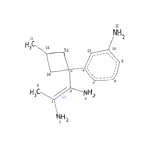 C/C(N)=C(/N)C1(c2cccc(N)c2)CC(C)C1